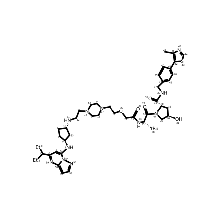 CCC(CC)c1cc(N[C@H]2CC[C@H](NCCN3CCN(CCOCC(=O)N[C@H](C(=O)N4C[C@H](O)C[C@H]4C(=O)NCc4ccc(-c5scnc5C)cc4)C(C)(C)C)CC3)C2)n2nccc2n1